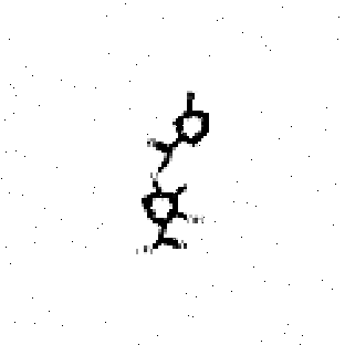 CCCC(=O)c1ccc(OCC(=O)c2cccc(Br)c2)c(C)c1O